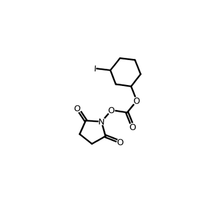 O=C(OC1CCCC(I)C1)ON1C(=O)CCC1=O